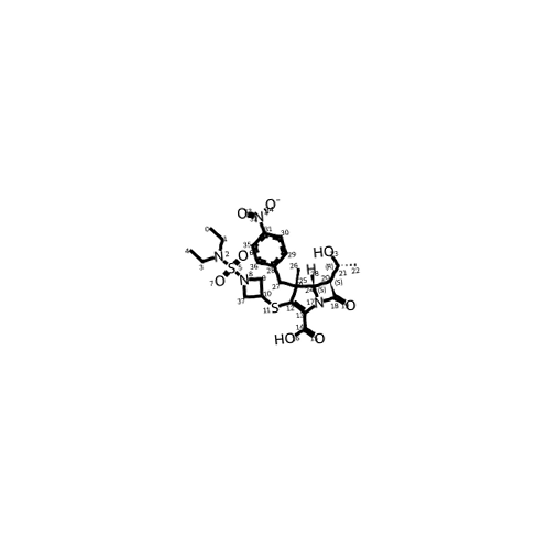 CCN(CC)S(=O)(=O)N1CC(SC2=C(C(=O)O)N3C(=O)[C@H]([C@@H](C)O)[C@H]3[C@@]2(C)Cc2ccc([N+](=O)[O-])cc2)C1